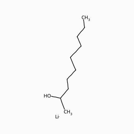 CCCCCCCCC(C)O.[Li]